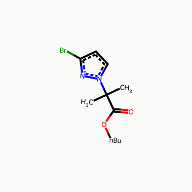 CCCCOC(=O)C(C)(C)n1ccc(Br)n1